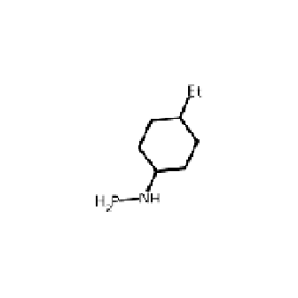 CCC1CCC(NP)CC1